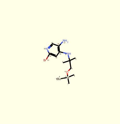 CC(C)(CO[Si](C)(C)C(C)(C)C)Nc1cc(Br)ncc1N